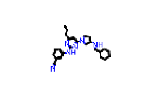 CCCc1cc(N2CC[C@H](NCC3CCCCC3)C2)nc(Nc2cccc(C#N)c2)n1